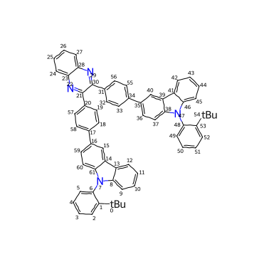 CC(C)(C)c1ccccc1-n1c2ccccc2c2cc(-c3ccc(-c4nc5ccccc5nc4-c4ccc(-c5ccc6c(c5)c5ccccc5n6-c5ccccc5C(C)(C)C)cc4)cc3)ccc21